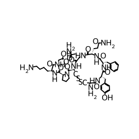 NCCCC[C@H](NC(=O)[C@@H]1CCCN1C(=O)[C@@H]1CSSC[C@H](N)C(=O)N[C@@H](Cc2ccc(O)cc2)C(=O)N[C@@H](Cc2ccccc2)C(=O)N[C@@H](CCC(N)=O)C(=O)N[C@@H](CC(N)=O)C(=O)N1)C(=O)NCC(=O)O